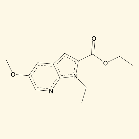 CCOC(=O)c1cc2cc(OC)cnc2n1CC